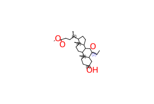 C/C=C1\C(=O)C2C(CC[C@@]3(C)C2CCC3[C@H](C)CCC(=O)OC)[C@@]2(C)CC[C@@H](O)CC12